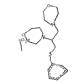 CS(=O)(=O)O.c1ccc(SCC(CN2CCOCC2)N2CCOCC2)cc1